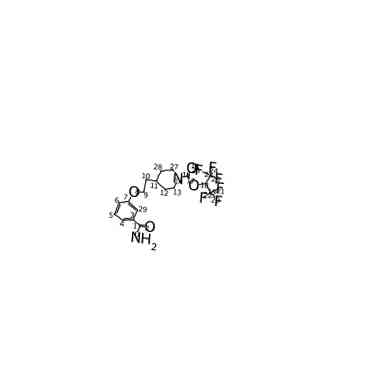 NC(=O)c1cccc(OCCC2CCN(C(=O)OC(C(F)(F)F)C(F)(F)F)CC2)c1